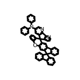 c1ccc(N(c2ccccc2)c2cnc3c(c2)C2(c4ccccc4Oc4cc5c(cc42)-c2ccccc2C52c4ccccc4-c4ccccc42)c2cccnc2-3)cc1